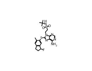 Cc1cc2c(cc1Sc1nc3c(N)ncnc3n1CCS(=O)(=O)NC(C)(C)C)C(F)CC2